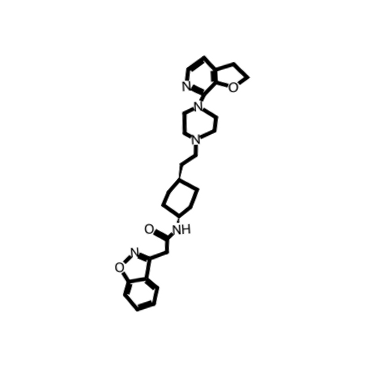 O=C(Cc1noc2ccccc12)N[C@H]1CC[C@H](CCN2CCN(c3nccc4c3OCC4)CC2)CC1